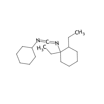 CCC1CCCCC1(CC)N=C=NC1CCCCC1